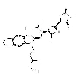 COC(=O)CCN1/C(=C/C(=c2/s/c(=C3\SC(=S)NC3=O)[nH]c2=O)C(C)C)Sc2cc3c(cc21)OCO3